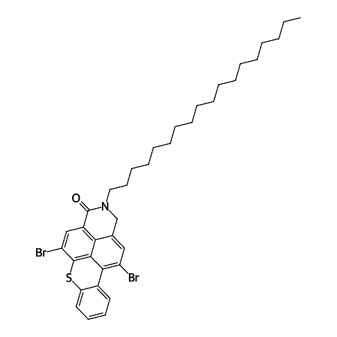 CCCCCCCCCCCCCCCCCCN1Cc2cc(Br)c3c4c(c(Br)cc(c24)C1=O)Sc1ccccc1-3